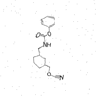 N#COCC1CCCC(CNC(=O)Oc2ccccc2)C1